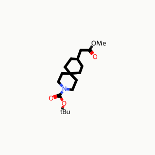 COC(=O)CC1CCC2(CC1)CCN(C(=O)OC(C)(C)C)CC2